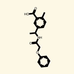 Cc1ccc(C(C)NC(=O)COc2ccccc2)cc1C(=O)O